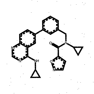 O=C(c1ccno1)N(Cc1cccc(-c2ccc3ncnc(NC4CC4)c3c2)c1)C1CC1